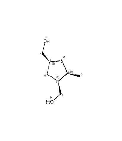 C[C@@H]1S[C@H](CO)C[C@@H]1CO